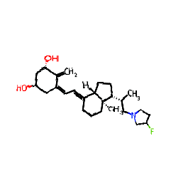 C=C1/C(=C\C=C2/CCC[C@]3(C)[C@@H](C(C)CN4CC[C@@H](F)C4)CC[C@@H]23)C[C@@H](O)C[C@@H]1O